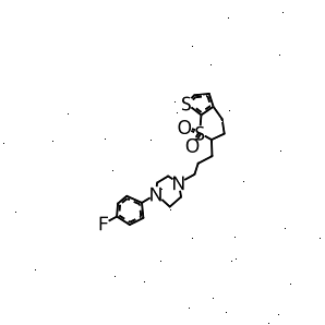 O=S1(=O)c2sccc2CCC1CCCN1CCN(c2ccc(F)cc2)CC1